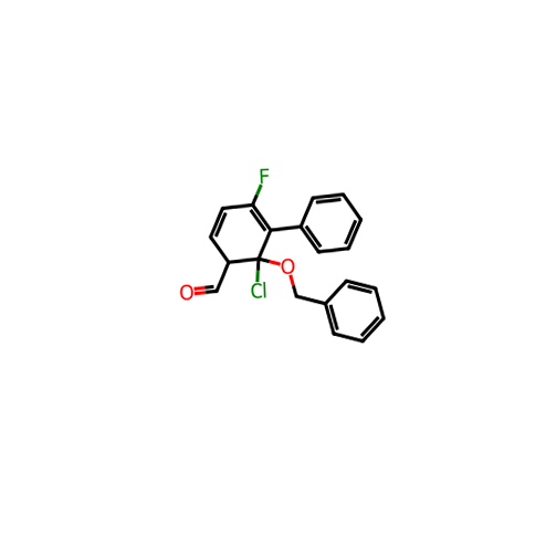 O=CC1C=CC(F)=C(c2ccccc2)C1(Cl)OCc1ccccc1